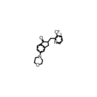 O=C1c2ccc(N3CCOCC3)cc2CC1Cc1ncccc1C(F)(F)F